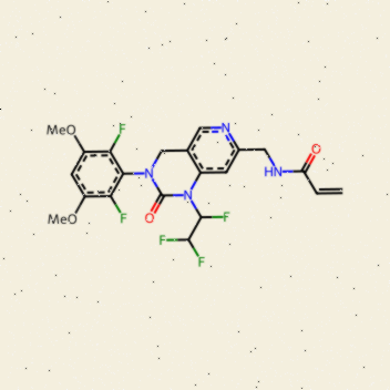 C=CC(=O)NCc1cc2c(cn1)CN(c1c(F)c(OC)cc(OC)c1F)C(=O)N2C(F)C(F)F